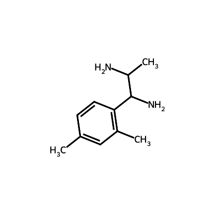 Cc1ccc(C(N)C(C)N)c(C)c1